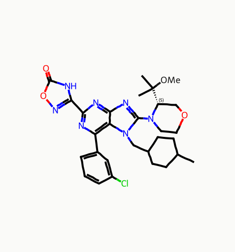 COC(C)(C)[C@@H]1COCCN1c1nc2nc(-c3noc(=O)[nH]3)nc(-c3cccc(Cl)c3)c2n1CC1CCC(C)CC1